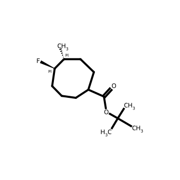 C[C@@H]1CCC(C(=O)OC(C)(C)C)CCC[C@H]1F